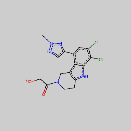 Cn1ncc(-c2cc(Cl)c(Cl)c3[nH]c4c(c23)CN(C(=O)CO)CC4)n1